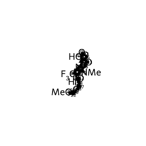 CNc1c2c(nc3cc(C(F)(F)F)c(OC(=O)NCC(C)(C)COCC(C)(C)COC)cc13)-c1cc3c(c(=O)n1C2)COC(=O)[C@H]3O